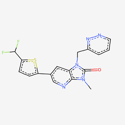 Cn1c(=O)n(Cc2cccnn2)c2cc(-c3ccc(C(F)F)s3)cnc21